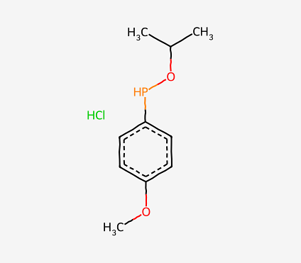 COc1ccc(POC(C)C)cc1.Cl